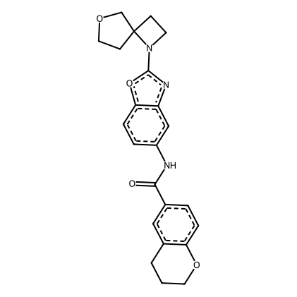 O=C(Nc1ccc2oc(N3CCC34CCOC4)nc2c1)c1ccc2c(c1)CCCO2